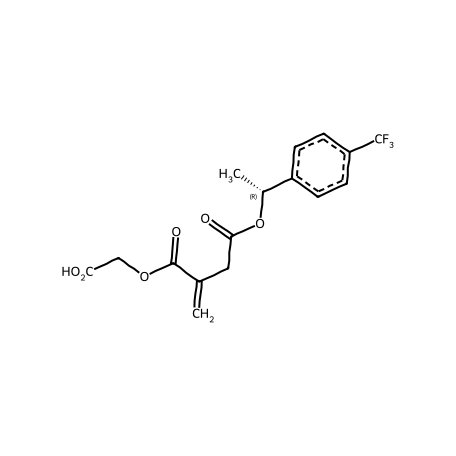 C=C(CC(=O)O[C@H](C)c1ccc(C(F)(F)F)cc1)C(=O)OCC(=O)O